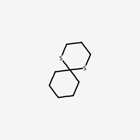 C1CCC2(CC1)SCCCS2